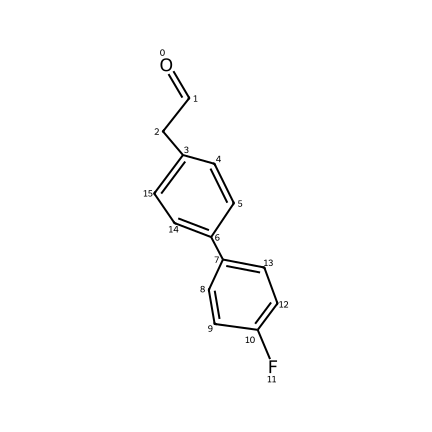 O=CCc1ccc(-c2ccc(F)cc2)cc1